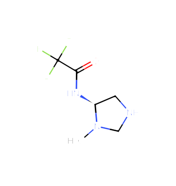 CN1CNC[C@@H]1NC(=O)C(F)(F)F